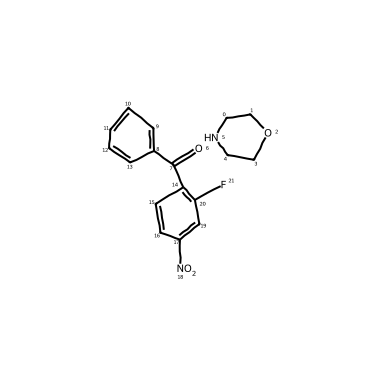 C1COCCN1.O=C(c1ccccc1)c1ccc([N+](=O)[O-])cc1F